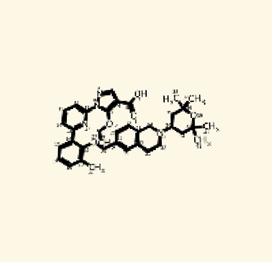 CCOc1c(C(=O)O)cnn1-c1cccc(-c2cccc(C)c2OCc2ccc3c(c2)CCN(C2CC(C)(C)OC(C)(C)C2)C3)n1